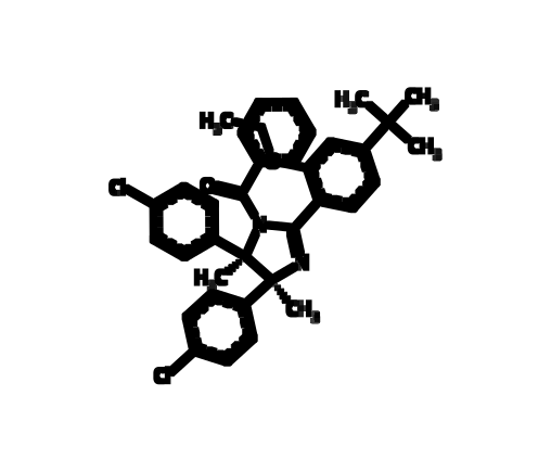 CCOc1cc(C(C)(C)C)ccc1C1=N[C@@](C)(c2ccc(Cl)cc2)[C@@](C)(c2ccc(Cl)cc2)N1C(=O)c1ccccc1